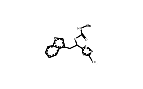 Cc1noc(C(Cc2c[nH]c3ccccc23)OC(=O)NC(C)(C)C)n1